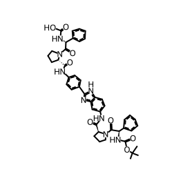 CC(C)(C)OC(=O)N[C@@H](C(=O)N1CCC[C@H]1C(=O)Nc1ccc2[nH]c(-c3ccc(NC(=O)[C@@H]4CCCN4C(=O)[C@H](NC(=O)O)c4ccccc4)cc3)nc2c1)c1ccccc1